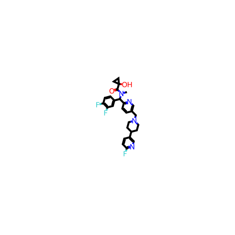 CN(C(=O)C1(O)CC1)C(c1ccc(F)c(F)c1)c1ccc(CN2CCC(c3ccc(F)nc3)CC2)cn1